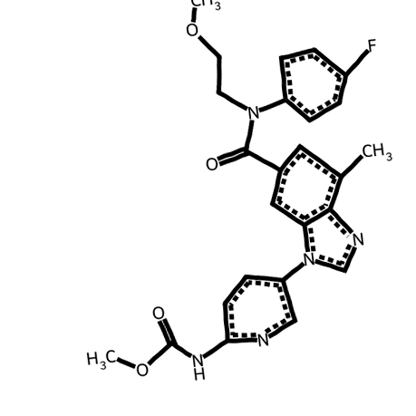 COCCN(C(=O)c1cc(C)c2ncn(-c3ccc(NC(=O)OC)nc3)c2c1)c1ccc(F)cc1